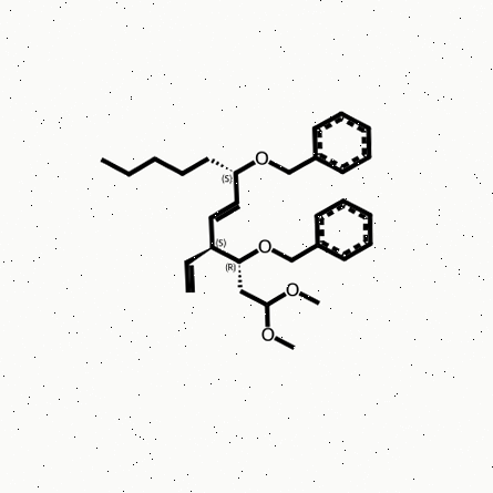 C=C[C@@H](C=C[C@H](CCCCC)OCc1ccccc1)[C@@H](CC(OC)OC)OCc1ccccc1